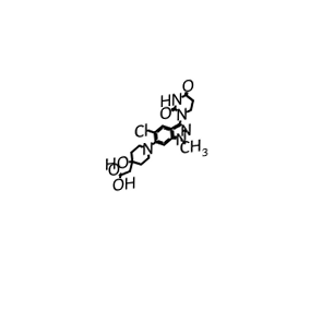 Cn1nc(N2CCC(=O)NC2=O)c2cc(Cl)c(N3CCC(O)(CC(=O)O)CC3)cc21